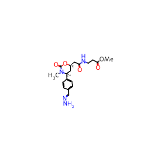 COC(=O)CCNC(=O)C[C@H]1C[C@@H](c2ccc(C=NN)cc2)N(C)C(=O)O1